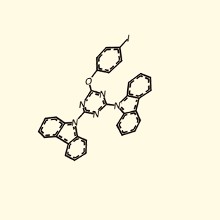 Ic1ccc(Oc2nc(-n3c4ccccc4c4ccccc43)nc(-n3c4ccccc4c4ccccc43)n2)cc1